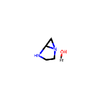 C1CN2CC2N1.CCO